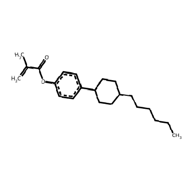 C=C(C)C(=O)Oc1ccc(C2CCC(CCCCCC)CC2)cc1